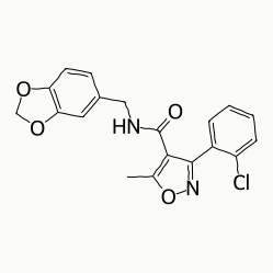 Cc1onc(-c2ccccc2Cl)c1C(=O)NCc1ccc2c(c1)OCO2